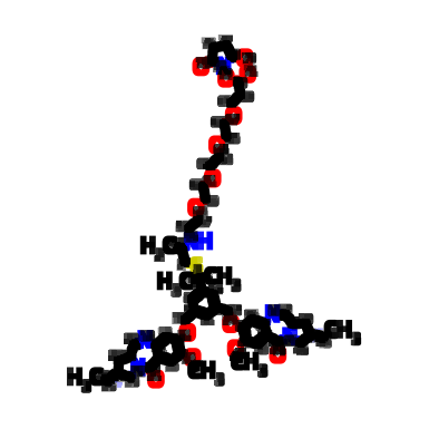 C=C(CSC(C)(C)c1cc(COc2cc3c(cc2OC)C(=O)N2C/C(=C/C)CC2C=N3)cc(COc2cc3c(cc2OC)C(=O)N2C/C(=C/C)CC2C=N3)c1)NCCOCCOCCOCCOCCC(=O)ON1C(=O)CCC1=O